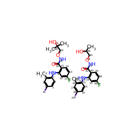 Cc1cc(I)ccc1Nc1cc(F)ccc1C(=O)NOCC(C)(C)O.Cc1cc(I)ccc1Nc1cc(F)ccc1C(=O)NOCC(C)O